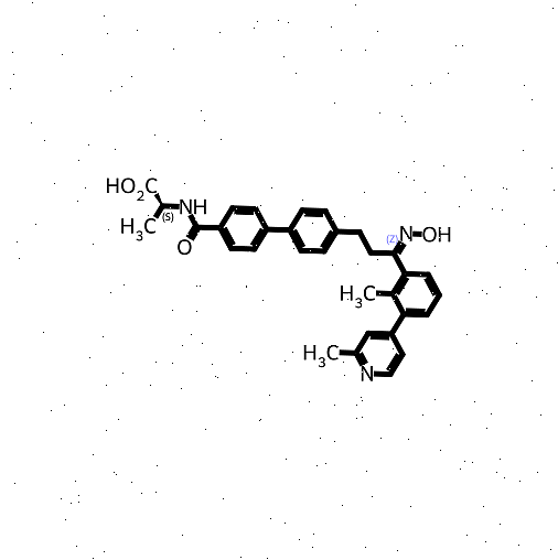 Cc1cc(-c2cccc(/C(CCc3ccc(-c4ccc(C(=O)N[C@@H](C)C(=O)O)cc4)cc3)=N\O)c2C)ccn1